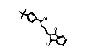 CC(C)(C)c1ccc(C(O)CCCN2C(=O)c3ccccc3C2=O)cc1